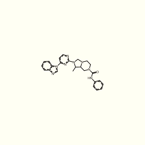 CC1C2CN(C(=O)Nc3ccccc3)CCN2CN1c1nccc(-n2cnc3ccccc32)n1